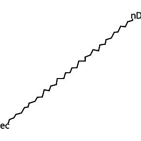 CCCCCCCCCCCCCCCCCCCCCCCCCCCCCCCCCCCCCCCCCCCCCCCCCCCCCCCC